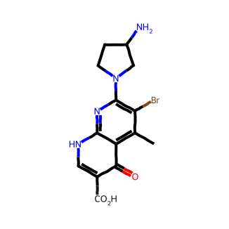 Cc1c(Br)c(N2CCC(N)C2)nc2[nH]cc(C(=O)O)c(=O)c12